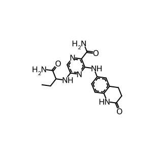 CCC(Nc1cnc(C(N)=O)c(Nc2ccc3c(c2)CCC(=O)N3)n1)C(N)=O